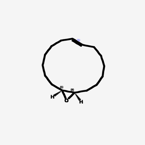 C1=C/CCCCCC[C@H]2O[C@H]2CCCCCC/1